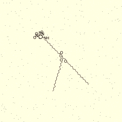 CCCCCCCCCCCCCCCCCCOCC(COC(=O)CCCCCCCCCCCNc1ccc([N+](=O)[O-])c2nonc12)OCCCCCCCCCCCCCCCCCC